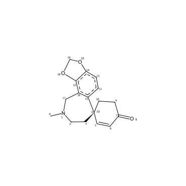 CN1CC[C@@]2(C=CC(=O)CC2)c2ccc3c(c2C1)OCO3